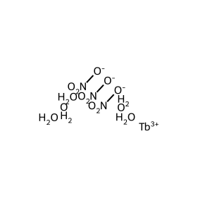 O.O.O.O.O.O=[N+]([O-])[O-].O=[N+]([O-])[O-].O=[N+]([O-])[O-].[Tb+3]